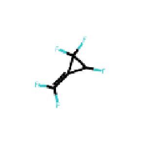 FC(F)=C1C(F)C1(F)F